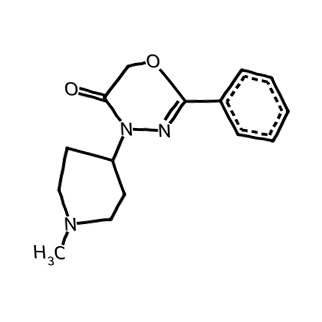 CN1CCC(N2N=C(c3ccccc3)OCC2=O)CC1